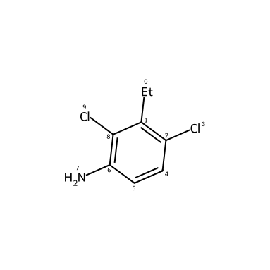 CCc1c(Cl)ccc(N)c1Cl